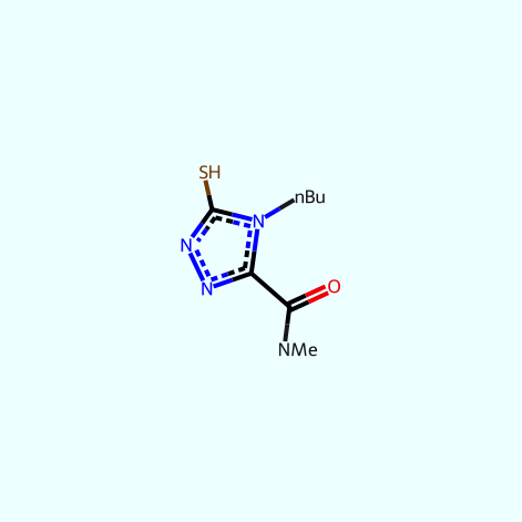 CCCCn1c(S)nnc1C(=O)NC